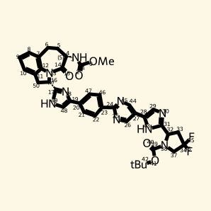 COC(=O)N[C@H]1CCc2cccc3c2N(C1=O)[C@H](c1nc(-c2ccc(-c4ncc(-c5cnc(C6CC(F)(F)CN6C(=O)OC(C)(C)C)[nH]5)cn4)cc2)c[nH]1)C3